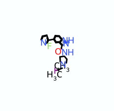 CC(C)(I)CN1CCC(NC(=O)c2n[nH]c3ccc(-c4cccnc4F)cc23)CC1